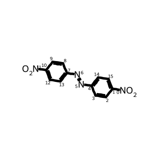 O=[N+]([O-])c1ccc(/N=N/c2ccc([N+](=O)[O-])cc2)cc1